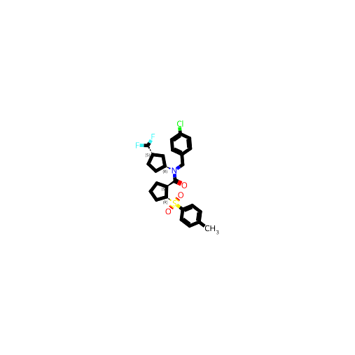 Cc1ccc(S(=O)(=O)[C@@H]2CCC[C@H]2C(=O)N(Cc2ccc(Cl)cc2)[C@@H]2CC[C@H](C(F)F)C2)cc1